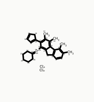 Cc1ccc2c(c1C)-c1c(C)c(C)c(C3=CC=CC3)[c]([Zr+2]=[C]3CCCCC3)c1C2.[Cl-].[Cl-]